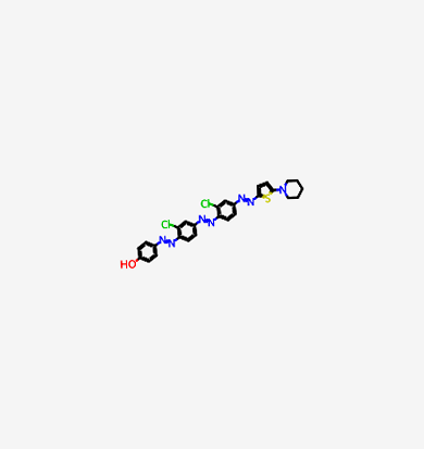 Oc1ccc(N=Nc2ccc(N=Nc3ccc(N=Nc4ccc(N5CCCCC5)s4)cc3Cl)cc2Cl)cc1